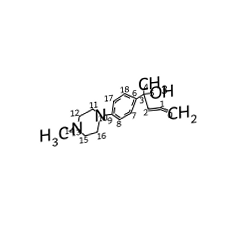 C=C=CC(C)(O)c1ccc(N2CCN(C)CC2)cc1